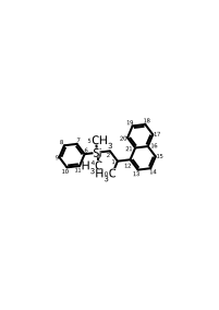 CC(C[Si](C)(C)c1ccccc1)c1cccc2ccccc12